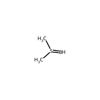 B=S(C)C